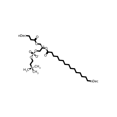 CCCCCCCCCCCCCCCCCCCCCCCCC(=O)O[C@H](COC(=O)CCCCCCCCCCCC)COP(=O)([O-])OCC[N+](C)(C)C